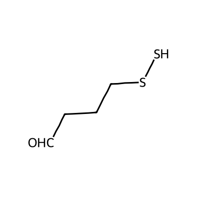 O=CCCCSS